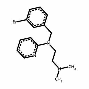 CN(C)CCN(Cc1cccc(Br)c1)c1ccccn1